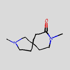 CN1CCC2(CCN(C)C(=O)C2)C1